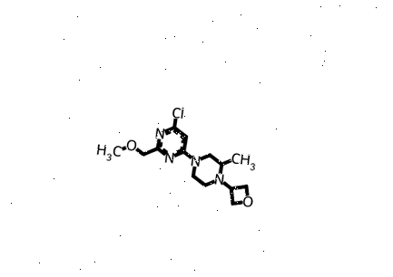 COCc1nc(Cl)cc(N2CCN(C3COC3)C(C)C2)n1